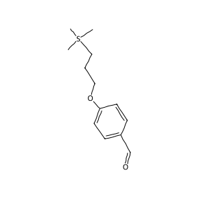 CS(C)(C)CCCOc1ccc(C=O)cc1